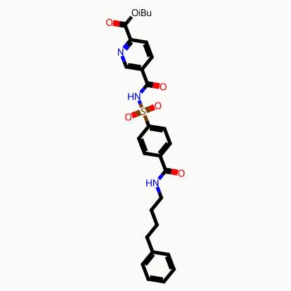 CC(C)COC(=O)c1ccc(C(=O)NS(=O)(=O)c2ccc(C(=O)NCCCCc3ccccc3)cc2)cn1